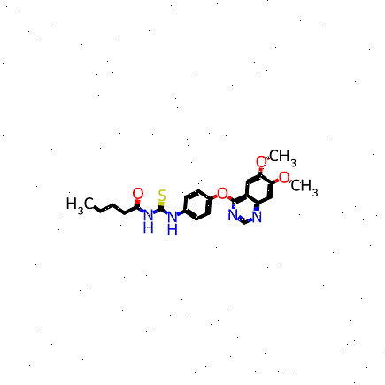 CCCCC(=O)NC(=S)Nc1ccc(Oc2ncnc3cc(OC)c(OC)cc23)cc1